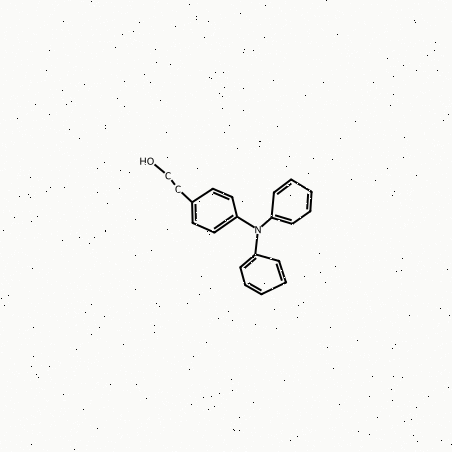 OCCc1ccc(N(c2ccccc2)c2ccccc2)cc1